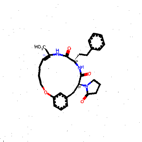 O=C(O)/C1=C/CCCOc2cccc(c2)C[C@H](N2CCCC2=O)C(=O)N[C@@H](CCc2ccccc2)C(=O)N1